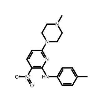 Cc1ccc(Nc2nc(N3CCN(C)CC3)ccc2[N+](=O)[O-])cc1